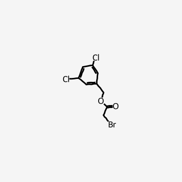 O=C(CBr)OCc1cc(Cl)cc(Cl)c1